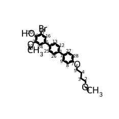 COCCCCOc1ccc(-c2ccc(-c3cc(Br)c(O)c(OC)c3)cc2)cc1